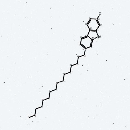 CCCCCCCCCCCCCCCCc1ccc2c(c1)[nH]c1cc(C)ccc12